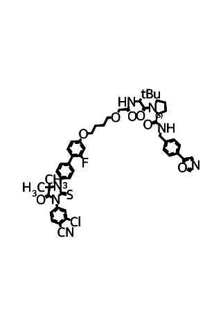 CC(C)(C)C(NC(=O)COCCCCOc1ccc(-c2ccc(N3C(=S)N(c4ccc(C#N)c(Cl)c4)C(=O)C3(C)C)cc2)c(F)c1)C(=O)N1CCC[C@H]1C(=O)NCc1ccc(-c2cnco2)cc1